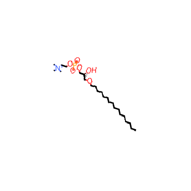 CCCCCCCCCCCCCCCCOC[C@H](O)COP(=O)([O-])OCC[N+](C)(C)C